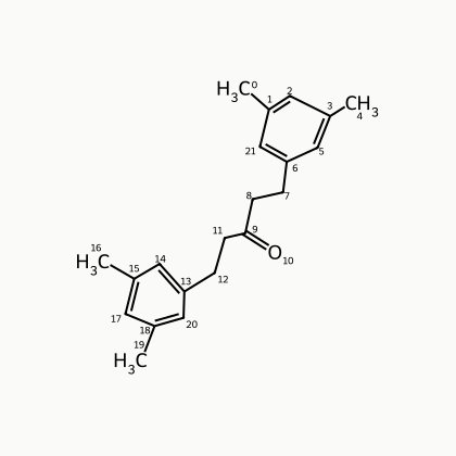 Cc1cc(C)cc(CCC(=O)CCc2cc(C)cc(C)c2)c1